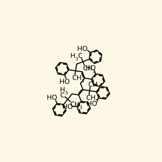 CC(C)(CC(=C(CC(=CC(C)(CC(C)(C)c1ccccc1O)c1ccccc1O)c1ccccc1O)C(C)(C)c1ccccc1O)c1ccccc1O)c1ccccc1O